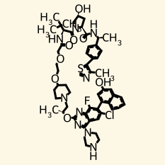 Cc1ncsc1-c1ccc([C@H](C)NC(=O)[C@@H]2C[C@@H](O)CN2C(=O)[C@@H](NC(=O)COCCOC2CCN(C[C@@H](C)Oc3nc(N4CCNCC4)c4cc(Cl)c(-c5cc(O)cc6ccccc56)c(F)c4n3)CC2)C(C)(C)C)cc1